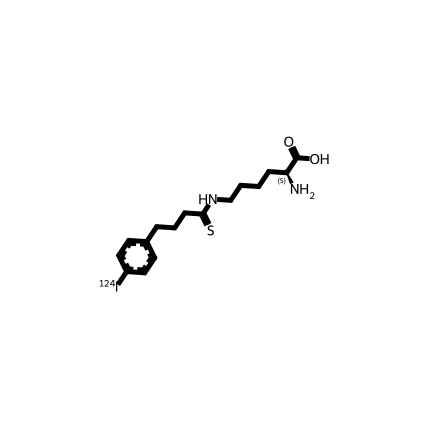 N[C@@H](CCCCNC(=S)CCCc1ccc([124I])cc1)C(=O)O